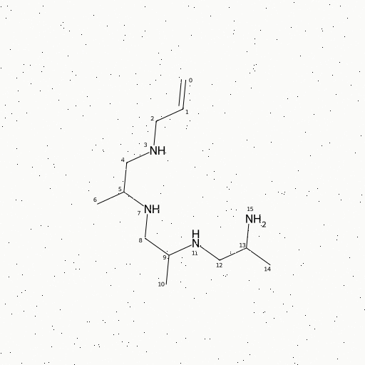 C=CCNCC(C)NCC(C)NCC(C)N